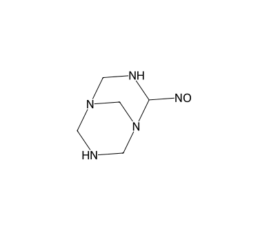 O=NC1NCN2CNCN1C2